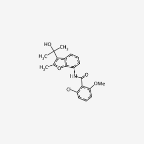 COc1cccc(Cl)c1C(=O)Nc1cccc2c(C(C)(C)O)c(C)oc12